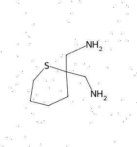 NCC1(CN)CCCCS1